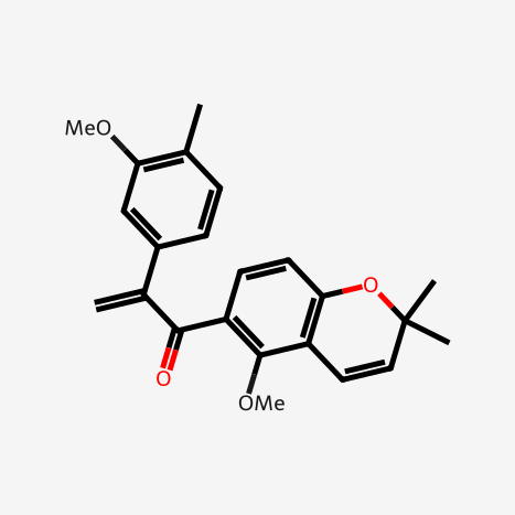 C=C(C(=O)c1ccc2c(c1OC)C=CC(C)(C)O2)c1ccc(C)c(OC)c1